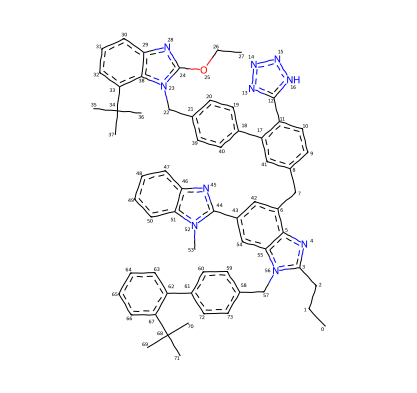 CCCc1nc2c(Cc3ccc(-c4nnn[nH]4)c(-c4ccc(Cn5c(OCC)nc6cccc(C(C)(C)C)c65)cc4)c3)cc(-c3nc4ccccc4n3C)cc2n1Cc1ccc(-c2ccccc2C(C)(C)C)cc1